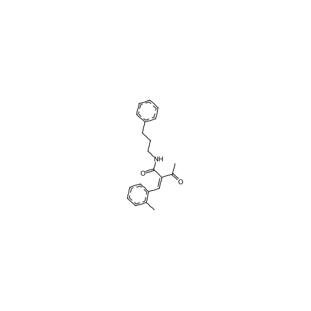 CC(=O)C(=Cc1ccccc1C)C(=O)NCCCc1ccccc1